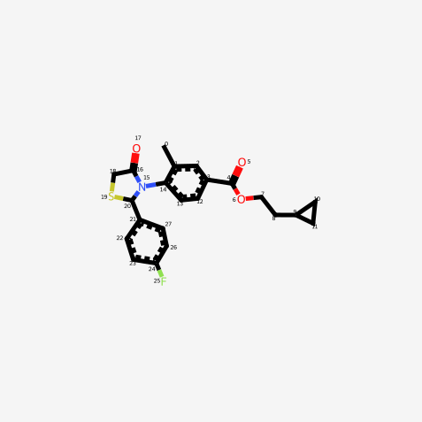 Cc1cc(C(=O)OCCC2CC2)ccc1N1C(=O)CSC1c1ccc(F)cc1